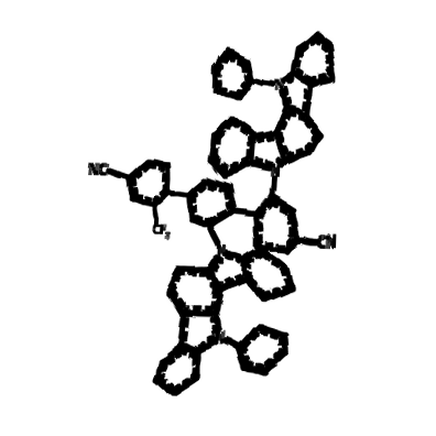 N#Cc1ccc(-c2ccc(-c3ccc(C#N)cc3C(F)(F)F)cc2-n2c3ccccc3c3c2ccc2c4ccccc4n(-c4ccccc4)c23)c(-n2c3ccccc3c3c2ccc2c4ccccc4n(-c4ccccc4)c23)c1